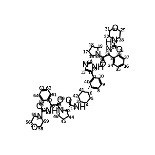 O=C(N[C@H]1CC[C@@H](c2cccc(-c3cnc([C@@H]4CCCN4C(=O)[C@H](NC(=O)N4CCOCC4)c4ccccc4)[nH]3)c2)CC1)[C@@H]1CCCN1C(=O)[C@H](NC(=O)N1CCOCC1)c1ccccc1